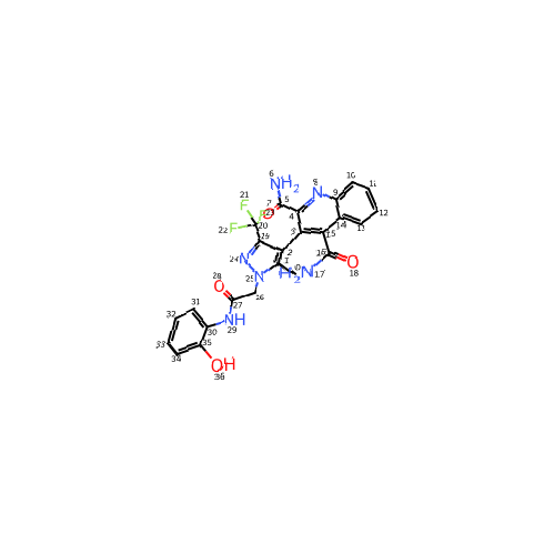 Cc1c(-c2c(C(N)=O)nc3ccccc3c2C(N)=O)c(C(F)(F)F)nn1CC(=O)Nc1ccccc1O